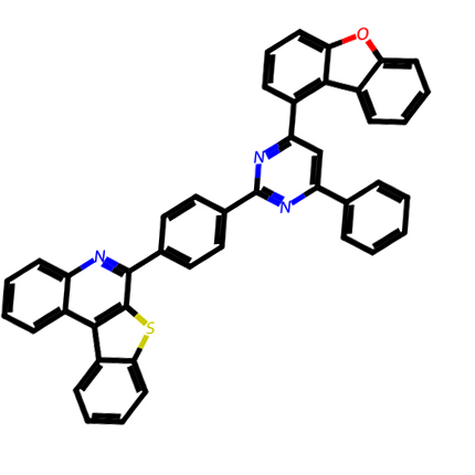 c1ccc(-c2cc(-c3cccc4oc5ccccc5c34)nc(-c3ccc(-c4nc5ccccc5c5c4sc4ccccc45)cc3)n2)cc1